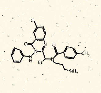 CCC(c1nc2ccc(Cl)cc2c(=O)n1Nc1ccccc1)N(CCCN)C(=O)c1ccc(C)cc1